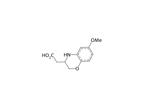 COc1ccc2c(c1)NC(CC(=O)O)CO2